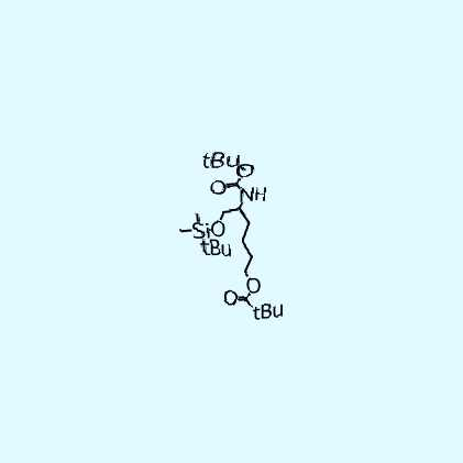 CC(C)(C)OC(=O)NC(CCCCOC(=O)C(C)(C)C)CO[Si](C)(C)C(C)(C)C